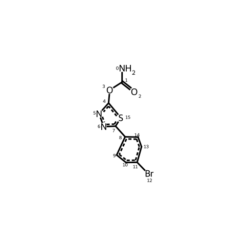 NC(=O)Oc1nnc(-c2ccc(Br)cc2)s1